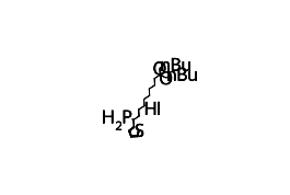 CCCCOC(CCCCCCCCC(P)c1cccs1)OCCCC.I